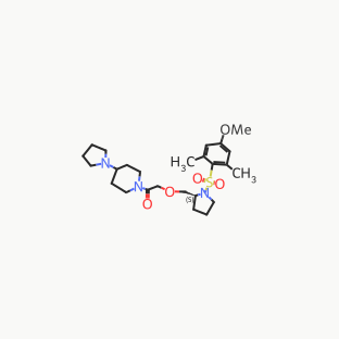 COc1cc(C)c(S(=O)(=O)N2CCC[C@H]2COCC(=O)N2CCC(N3CCCC3)CC2)c(C)c1